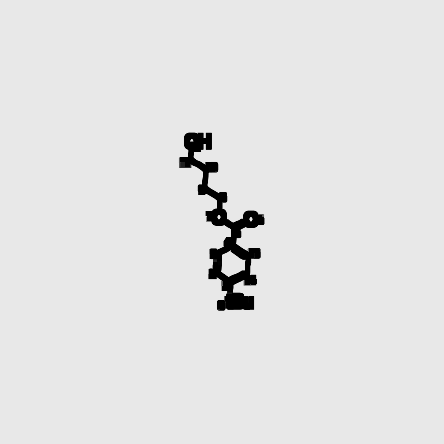 CC(C)(C)c1ccc(C(=O)OCCCCO)cc1